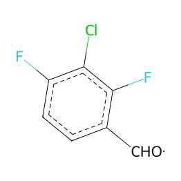 O=[C]c1ccc(F)c(Cl)c1F